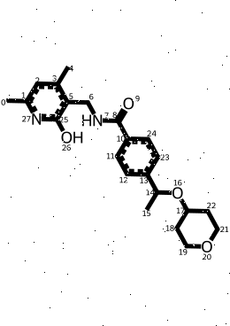 Cc1cc(C)c(CNC(=O)c2ccc(C(C)OC3CCOCC3)cc2)c(O)n1